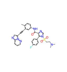 Cc1ccc(NC(=O)c2ncn(S(=O)(=O)CCN(C)C)c2-c2ccc(F)cc2)cc1C#Cc1cnc2cccnn12